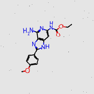 CCOC(=O)Nc1cc2[nH]c(-c3ccc(OC)cc3)nc2c(N)n1